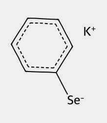 [K+].[Se-]c1ccccc1